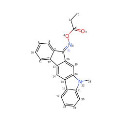 CCC(=O)O/N=C1\c2ccccc2-c2cc3c4ccccc4n(C)c3cc21